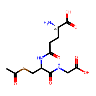 CC(=O)SCC(NC(=O)CC[C@H](N)C(=O)O)C(=O)NCC(=O)O